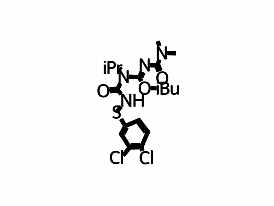 CCC(C)OC(=NC(=O)N(C)C)N(C(=O)NSc1ccc(Cl)c(Cl)c1)C(C)C